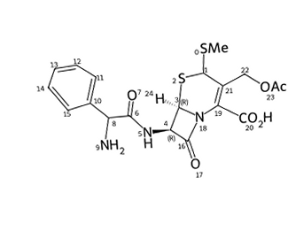 CSC1S[C@@H]2[C@H](NC(=O)C(N)c3ccccc3)C(=O)N2C(C(=O)O)=C1COC(C)=O